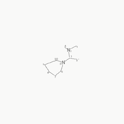 [CH2]C(N(C)C)N1CCCCC1